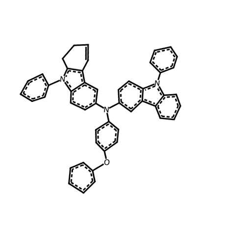 C1=Cc2c(n(-c3ccccc3)c3ccc(N(c4ccc(Oc5ccccc5)cc4)c4ccc5c(c4)c4ccccc4n5-c4ccccc4)cc23)CC1